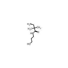 CC(C)(CN)C(=O)NCCCO